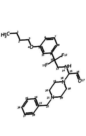 CCCCOc1cccc(C(F)(F)CNC(C=O)N2CCN(Cc3ccccc3)CC2)c1